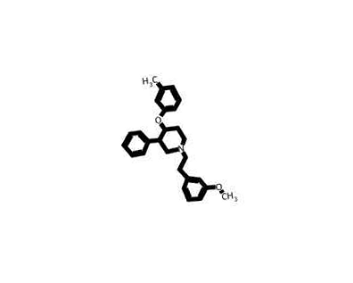 COc1cccc(CCN2CCC(Oc3cccc(C)c3)C(c3ccccc3)C2)c1